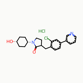 Cl.O=C1C(Cc2ccc(-c3cccnc3)cc2Cl)CCN1[C@H]1CC[C@@H](O)CC1